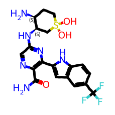 NC(=O)c1ncc(N[C@@H]2CS(O)(O)CC[C@@H]2N)nc1-c1cc2cc(C(F)(F)F)ccc2[nH]1